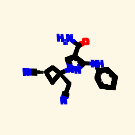 N#CC[C@]1(n2cc(C(N)=O)c(Nc3ccccc3)n2)C[C@@H](C#N)C1